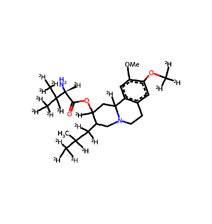 [2H]C([2H])([2H])Oc1cc2c(cc1OC)C1([2H])CC([2H])(OC(=O)[C@@]([2H])(N)C([2H])(C([2H])([2H])[2H])C([2H])([2H])[2H])C(C([2H])([2H])C([2H])(C)C([2H])([2H])[2H])CN1CC2